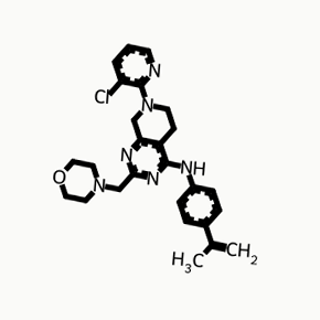 C=C(C)c1ccc(Nc2nc(CN3CCOCC3)nc3c2CCN(c2ncccc2Cl)C3)cc1